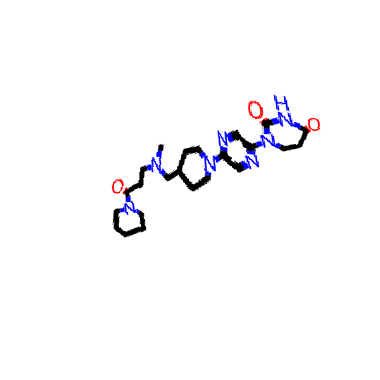 CN(CCC(=O)N1CCCCC1)CC1CCN(c2cnc(N3CCC(=O)NC3=O)cn2)CC1